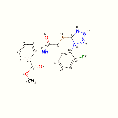 COC(=O)c1ccccc1NC(=O)CSc1nnnn1-c1ccccc1F